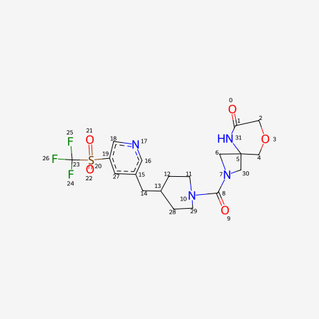 O=C1COCC2(CN(C(=O)N3CCC(Cc4cncc(S(=O)(=O)C(F)(F)F)c4)CC3)C2)N1